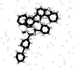 C=N/C(=N\C(=N/Cc1ccccc1)c1ccccc1-n1c2ccccc2c2ccc3oc4ccccc4c3c21)c1ccc(-c2ccccc2)cc1